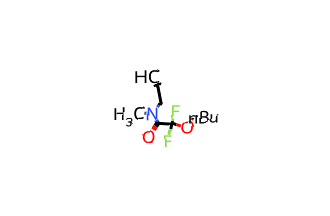 C#CCN(C)C(=O)C(F)(F)OCCCC